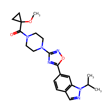 COC1(C(=O)N2CCN(c3noc(-c4ccc5cnn(C(C)C)c5c4)n3)CC2)CC1